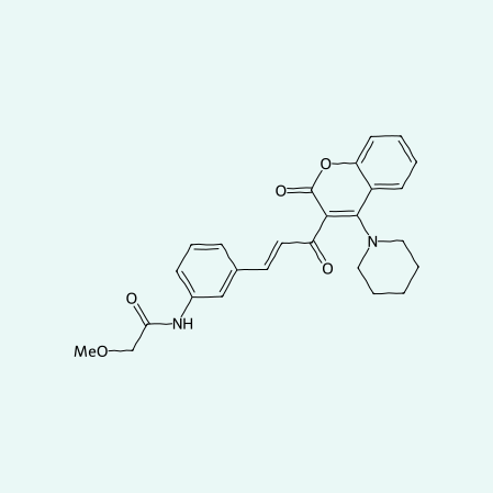 COCC(=O)Nc1cccc(/C=C/C(=O)c2c(N3CCCCC3)c3ccccc3oc2=O)c1